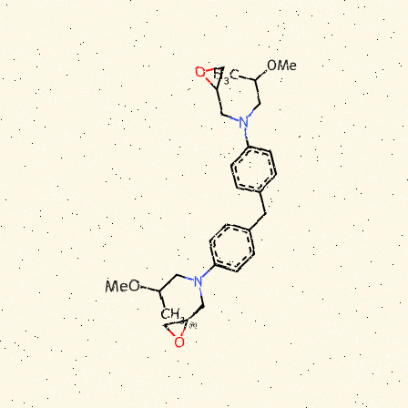 COC(C)CN(CC1CO1)c1ccc(Cc2ccc(N(CC(C)OC)C[C@@H]3CO3)cc2)cc1